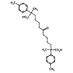 Cc1ccc(C(C)(CCCCC(=O)CCCCC(C)(C(=O)O)c2ccc(C)cc2)C(=O)O)cc1